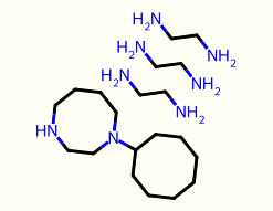 C1CCCC(N2CCCCNCC2)CCC1.NCCN.NCCN.NCCN